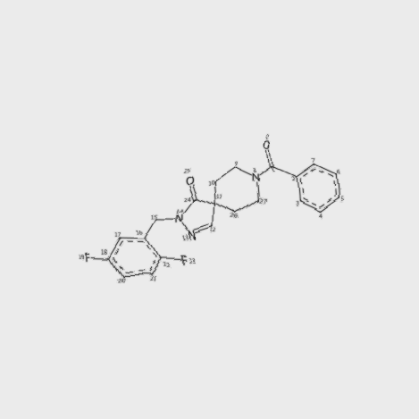 O=C(c1ccccc1)N1CCC2(C=NN(Cc3cc(F)ccc3F)C2=O)CC1